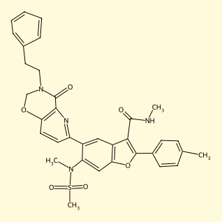 CNC(=O)c1c(-c2ccc(C)cc2)oc2cc(N(C)S(C)(=O)=O)c(-c3ccc4c(n3)C(=O)N(CCc3ccccc3)CO4)cc12